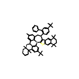 Cc1cc2c3c(c1)C1CC4(C)CCCCC4(C)c4cc(C(C)(C)C)cc(c41)B3c1sc3cc4c(cc3c1C(c1ccc(C(C)(C)C)cc1-c1ccccc1)C2)C(C)(C)CCC4(C)C